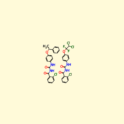 CC(Oc1ccc(NC(=O)NC(=O)c2ccccc2Cl)cc1)c1ccccc1.O=C(NC(=O)c1ccccc1Cl)Nc1ccc(OC(F)(F)C(Cl)Cl)cc1